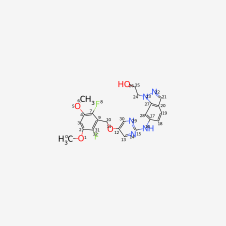 COc1cc(OC)c(F)c(COc2cnc(Nc3ccc4cnn(CCO)c4c3)nc2)c1F